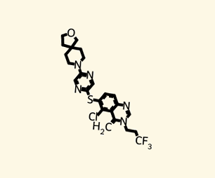 C=C1c2c(ccc(Sc3cnc(N4CCC5(CCOC5)CC4)cn3)c2Cl)N=CN1CCC(F)(F)F